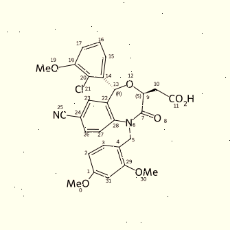 COc1ccc(CN2C(=O)[C@H](CC(=O)O)O[C@@H](c3cccc(OC)c3Cl)c3cc(C#N)ccc32)c(OC)c1